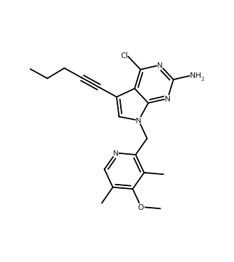 CCCC#Cc1cn(Cc2ncc(C)c(OC)c2C)c2nc(N)nc(Cl)c12